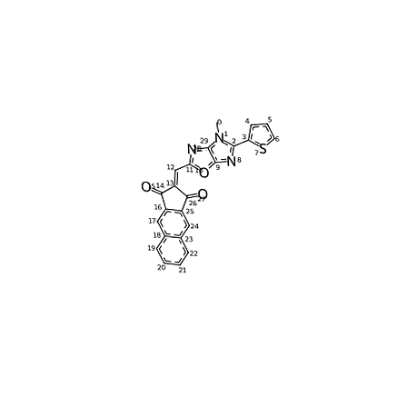 Cn1c(-c2cccs2)nc2oc(C=C3C(=O)c4cc5ccccc5cc4C3=O)nc21